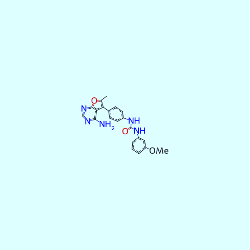 COc1cccc(NC(=O)Nc2ccc(-c3c(C)oc4ncnc(N)c34)cc2)c1